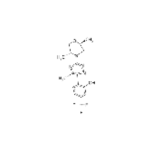 Cc1nc(N2C[C@H](C)OC[C@H]2C)nnc1-c1ccc(C(F)(F)F)cc1O